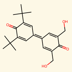 CC(C)(C)C1=CC(=C2C=C(CO)C(=O)C(CO)=C2)C=C(C(C)(C)C)C1=O